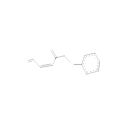 C=C/C=C\C(=C)CNc1ccccc1